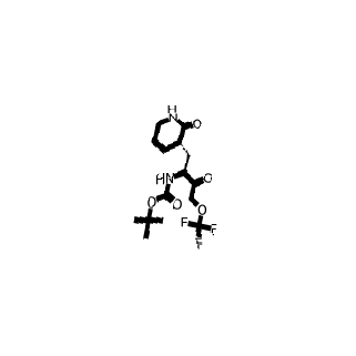 CC(C)(C)OC(=O)N[C@@H](C[C@@H]1CCCNC1=O)C(=O)COC(F)(F)F